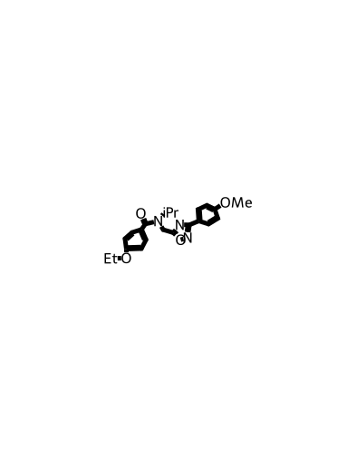 CCOc1ccc(C(=O)N(Cc2nc(-c3ccc(OC)cc3)no2)C(C)C)cc1